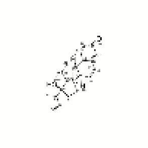 C=CC(C)[C@@]1(O)CC[C@H]2[C@@H]3C=CC4=CC(=O)C=C[C@]4(C)[C@H]3CC[C@@]21C